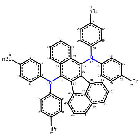 CCCCc1ccc(N(c2ccc(C(C)C)cc2)c2c3c(c(N(c4ccc(CCCC)cc4)c4ccc(C(C)C)cc4)c4ccccc24)-c2cccc4cccc-3c24)cc1